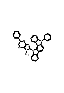 Cn1c(-n2c3ccccc3c3ccc4c(c5ccccc5n4C4C=CC=CC4)c32)nc2c1NCC(c1ccccc1)=N2